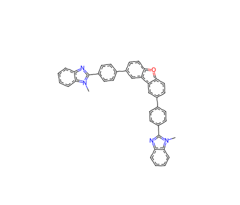 Cn1c(-c2ccc(-c3ccc4oc5ccc(-c6ccc(-c7nc8ccccc8n7C)cc6)cc5c4c3)cc2)nc2ccccc21